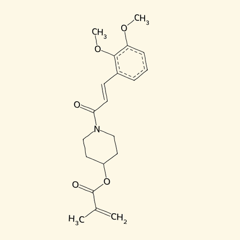 C=C(C)C(=O)OC1CCN(C(=O)/C=C/c2cccc(OC)c2OC)CC1